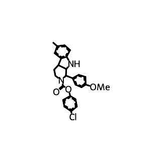 COc1ccc(C2C3Nc4ccc(C)cc4C3CCN2C(=O)Oc2ccc(Cl)cc2)cc1